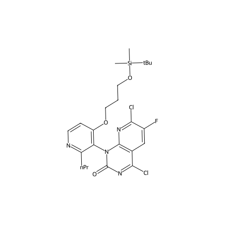 CCCc1nccc(OCCCO[Si](C)(C)C(C)(C)C)c1-n1c(=O)nc(Cl)c2cc(F)c(Cl)nc21